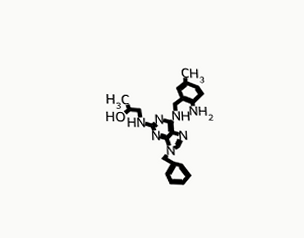 Cc1ccc(N)c(CNc2nc(NCC(C)O)nc3c2ncn3Cc2ccccc2)c1